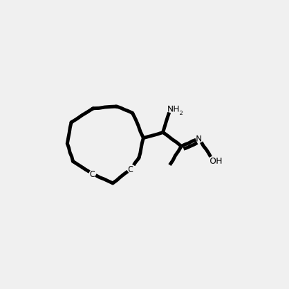 C/C(=N\O)C(N)C1CCCCCCCCCC1